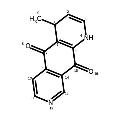 CC1C=CNC2=C1C(=O)c1ccncc1C2=O